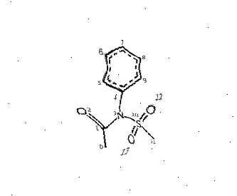 CC(=O)N(c1ccccc1)S(C)(=O)=O